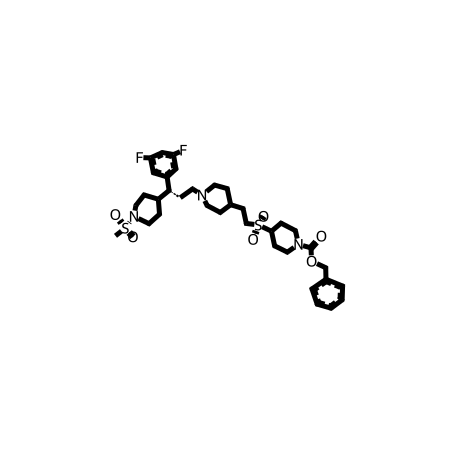 CS(=O)(=O)N1CCC([C@@H](CCN2CCC(CCS(=O)(=O)C3CCN(C(=O)OCc4ccccc4)CC3)CC2)c2cc(F)cc(F)c2)CC1